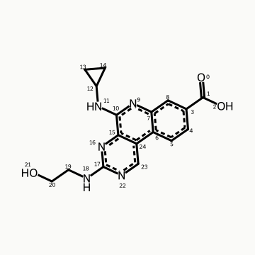 O=C(O)c1ccc2c(c1)nc(NC1CC1)c1nc(NCCO)ncc12